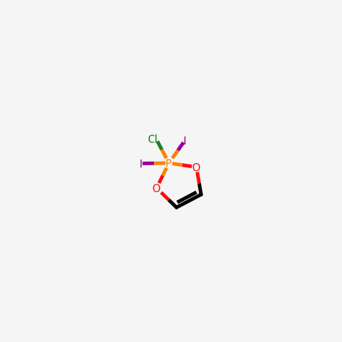 ClP1(I)(I)OC=CO1